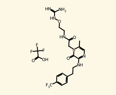 Cc1cnc(NCCc2ccc(C(F)(F)F)cc2)c(=O)n1CC(=O)NCCONC(=N)N.O=C(O)C(F)(F)F